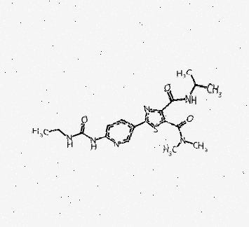 CCNC(=O)Nc1ccc(-c2nc(C(=O)NC(C)C)c(C(=O)N(C)C)s2)cn1